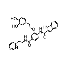 O=C(NCCc1ccncn1)c1ccc(NC(=O)c2cc3ccccc3[nH]2)c(OCCc2ccc(O)c(O)c2)c1